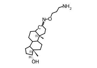 C[C@]12CCC(=NOCCCN)CC1CCC1C2CC[C@@]2(C)C1CC[C@H]2O